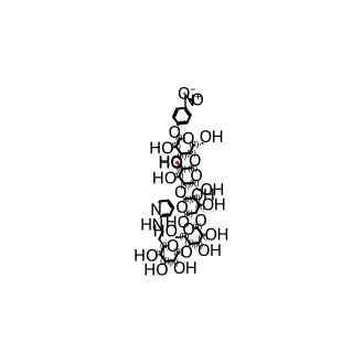 O=[N+]([O-])c1ccc(O[C@H]2O[C@H](CO)[C@H](O[C@H]3O[C@H](CO)[C@@H](O[C@H]4O[C@H](O)C(O[C@H]5O[C@H](CO)[C@@H](O[C@H]6O[C@H](CCNc7ccccn7)[C@@H](O)[C@H](O)[C@H]6O)[C@H](O)[C@H]5O)[C@H](O)[C@H]4O)[C@H](O)[C@H]3O)[C@H](O)[C@H]2O)cc1